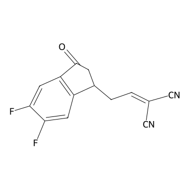 N#CC(C#N)=CCC1CC(=O)c2cc(F)c(F)cc21